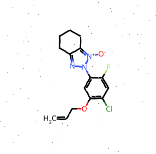 C=CCOc1cc(-n2nc3c([n+]2[O-])CCCC3)c(F)cc1Cl